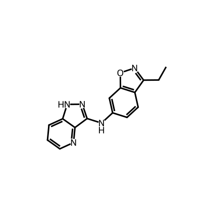 CCc1noc2cc(Nc3n[nH]c4cccnc34)ccc12